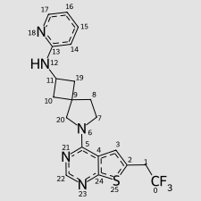 FC(F)(F)Cc1cc2c(N3CCC4(CC(Nc5ccccn5)C4)C3)ncnc2s1